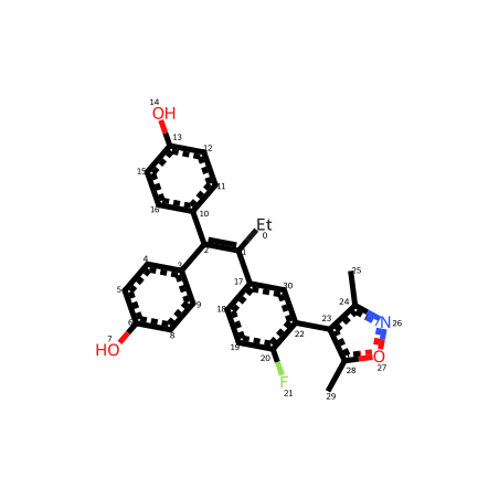 CCC(=C(c1ccc(O)cc1)c1ccc(O)cc1)c1ccc(F)c(-c2c(C)noc2C)c1